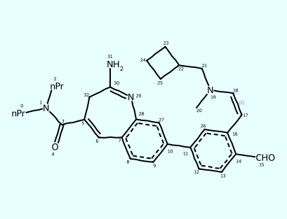 CCCN(CCC)C(=O)C1=Cc2ccc(-c3ccc(C=O)c(/C=C\N(C)CC4CCC4)c3)cc2N=C(N)C1